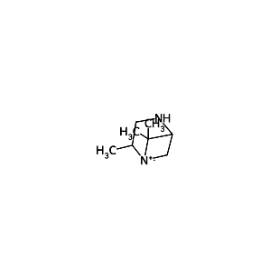 CC1CNC2C[N+]1C2(C)C